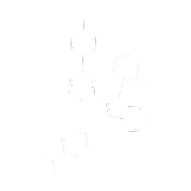 N#Cc1ccccc1-c1c(-c2cccc(-c3ccc(C(=O)O)cc3Cl)c2)n(S(=O)(=O)c2ccc(C(F)F)cc2)c2cccnc12